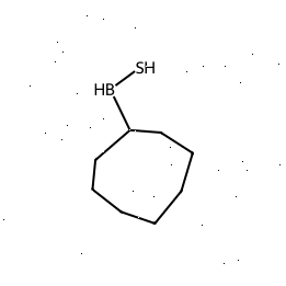 SBC1CCCCCCC1